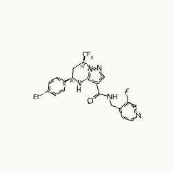 CCc1ccc([C@H]2C[C@@H](C(F)(F)F)n3ncc(C(=O)NCc4ccncc4F)c3N2)cc1